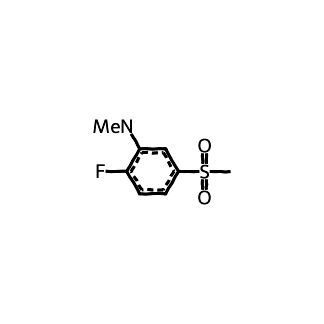 CNc1cc(S(C)(=O)=O)ccc1F